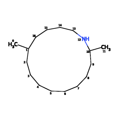 CC1CCCCCCCCC(C)NCCCC1